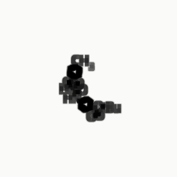 Cc1ccc(S(=O)(=O)NC(=O)Nc2ccc(S(=O)(=O)OC(C)(C)C)cc2)cc1